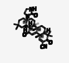 CC1(C)CC[C@]2(N3CCNC3=O)CC[C@]3(C)[C@H](C(=O)C=C4[C@@]5(C)C=C(C#N)C(=O)C(C)(C)[C@@H]5CC[C@]43C)[C@@H]2C1